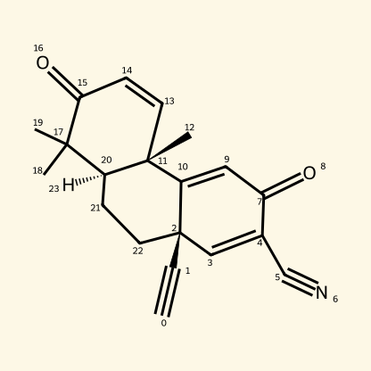 C#C[C@]12C=C(C#N)C(=O)C=C1[C@@]1(C)C=CC(=O)C(C)(C)[C@@H]1CC2